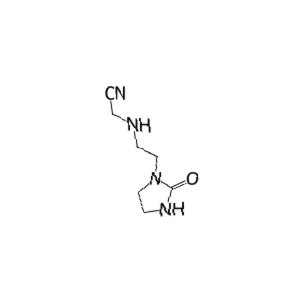 N#CCNCCN1CCNC1=O